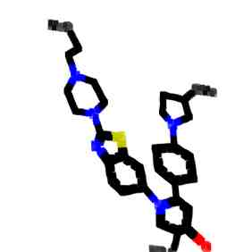 COCCN1CCN(c2nc3ccc(-n4cc(C(=O)O)c(=O)cc4-c4ccc(N5CCC(OC)C5)cc4)cc3s2)CC1